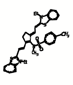 CCN1/C(=C/C=C2\CCC(/C=C/c3sc4ccccc4[n+]3CC)=C2N(C)S(=O)(=O)c2ccc(C)cc2)Sc2ccccc21